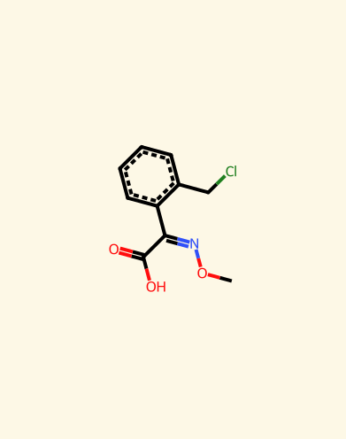 CON=C(C(=O)O)c1ccccc1CCl